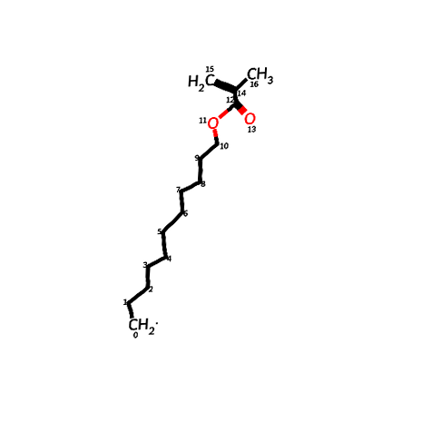 [CH2]CCCCCCCCCCOC(=O)C(=C)C